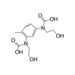 Cc1ccc(N(CCO)C(=O)O)cc1N(CCO)C(=O)O